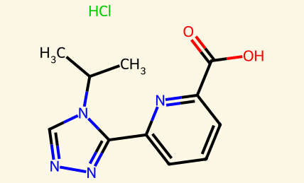 CC(C)n1cnnc1-c1cccc(C(=O)O)n1.Cl